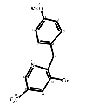 COc1ccc(Cc2ncc(C(F)(F)F)cc2Cl)cc1